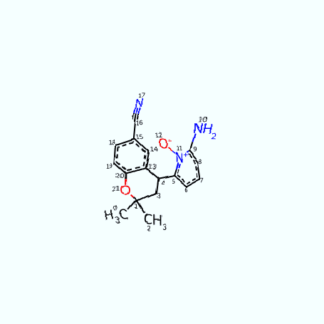 CC1(C)CC(c2cccc(N)[n+]2[O-])c2cc(C#N)ccc2O1